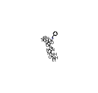 CCNC(=O)Nc1ncnc2c1ncn2[C@@H]1O[C@H](CO[Si](C)(C)C(C)(C)C)[C@@H]2O[C@H](/C=C/c3ccccc3)OC21